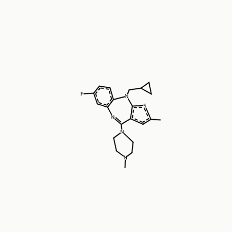 Cc1cc2c(s1)N(CC1CC1)c1ccc(F)cc1N=C2N1CCN(C)CC1